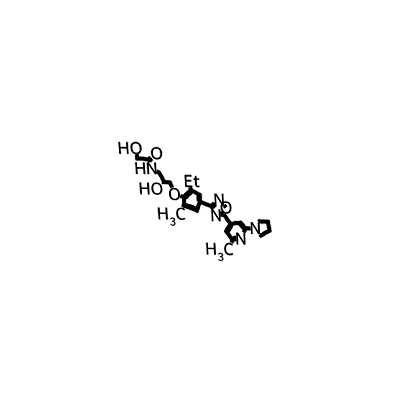 CCc1cc(-c2noc(-c3cc(C)nc(N4CCCC4)c3)n2)cc(C)c1OC[C@H](O)CNC(=O)CO